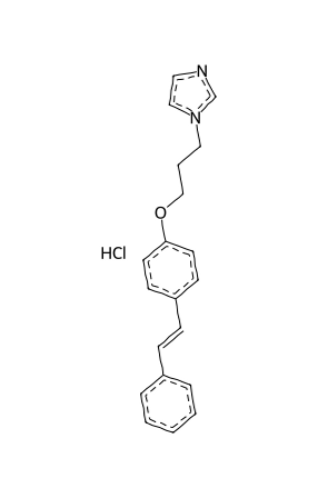 C(=Cc1ccc(OCCCn2ccnc2)cc1)c1ccccc1.Cl